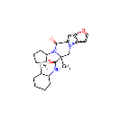 CC1CCCCC1NC(=O)C1(C)Cn2c(cc3occc32)C(=O)N1C1CCCC1